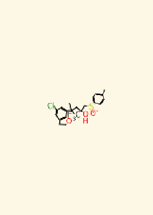 Cc1ccc([S+]([O-])C[C@](O)(CC(C)(C)c2cc(Cl)cc3c2OCC3)C(F)(F)F)cc1